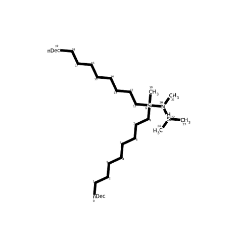 CCCCCCCCCCCCCCCCCC[Si](C)(CCCCCCCCCCCCCCCCCC)N(C)[SiH](C)C